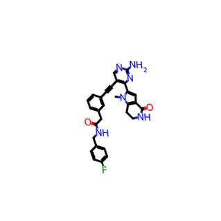 Cn1c(-c2nc(N)ncc2C#Cc2cccc(CC(=O)NCc3ccc(F)cc3)c2)cc2c1CCNC2=O